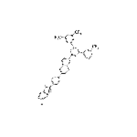 Fc1ccc2nc(-c3ccc(-c4ccc5cc(-c6cc(-c7cccc(C(F)(F)F)c7)cc(-c7cc(C(F)(F)F)cc(C(F)(F)F)c7)c6)ccc5c4)cc3)oc2c1